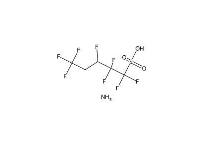 N.O=S(=O)(O)C(F)(F)C(F)(F)C(F)CC(F)(F)F